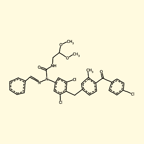 COC(CNC(=O)N(N=Cc1ccccc1)c1cc(Cl)c(Cc2ccc(C(=O)c3ccc(Cl)cc3)c(C)c2)c(Cl)c1)OC